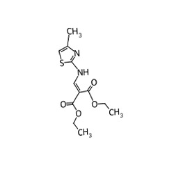 CCOC(=O)C(=CNc1nc(C)cs1)C(=O)OCC